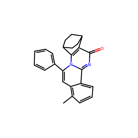 Cc1cccc2c1cc(-c1ccccc1)n1c3c(c(=O)nc21)C1CCC3CC1